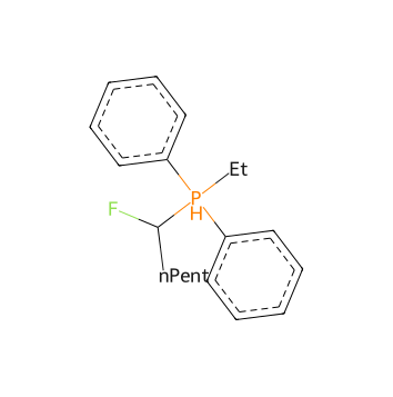 CCCCCC(F)[PH](CC)(c1ccccc1)c1ccccc1